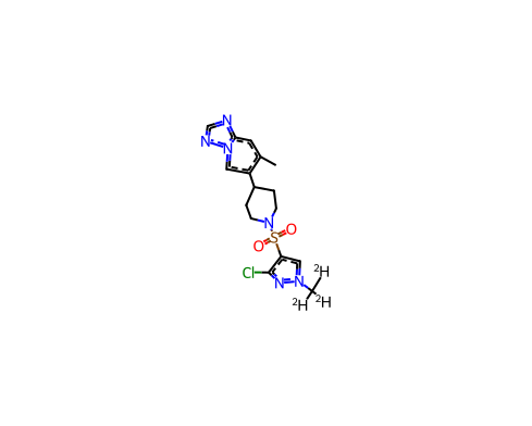 [2H]C([2H])([2H])n1cc(S(=O)(=O)N2CCC(c3cn4ncnc4cc3C)CC2)c(Cl)n1